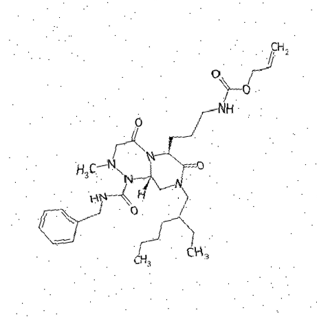 C=CCOC(=O)NCCC[C@H]1C(=O)N(CC(CC)CCCC)C[C@H]2N1C(=O)CN(C)N2C(=O)NCc1ccccc1